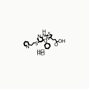 Cl.Cl.O=C(O)CCc1csc(Nc2ncc(SCCc3ccccn3)cc2Oc2ccccc2)n1